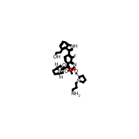 CC(C)(C)OC(=O)N1[C@@H]2CC[C@H]1CN(c1nc(OC[C@@H]3CCCN3CCCN)nc3c(F)c(-c4c[nH]c5cccc(CCO)c45)ccc13)C2